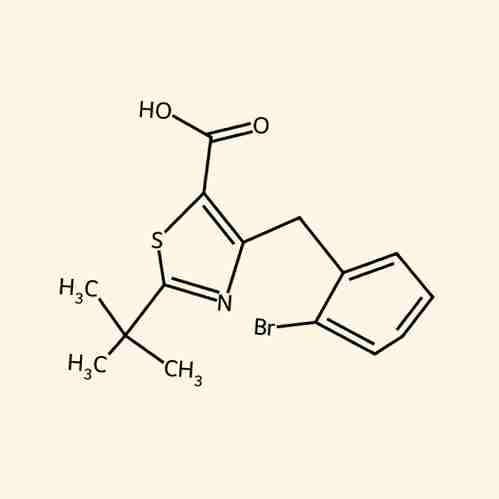 CC(C)(C)c1nc(Cc2ccccc2Br)c(C(=O)O)s1